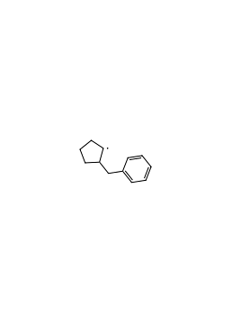 [CH]1CCCC1Cc1ccccc1